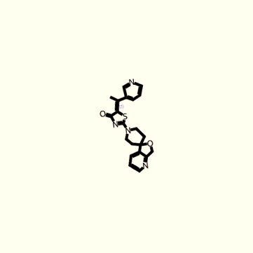 C/C(=C1/SC(N2CCC3(CC2)OCc2ncccc23)=NC1=O)c1cccnc1